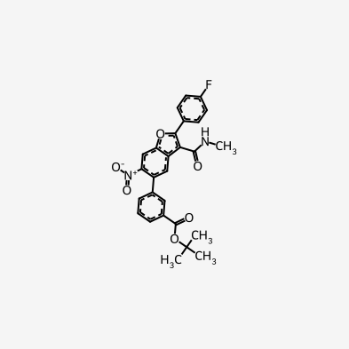 CNC(=O)c1c(-c2ccc(F)cc2)oc2cc([N+](=O)[O-])c(-c3cccc(C(=O)OC(C)(C)C)c3)cc12